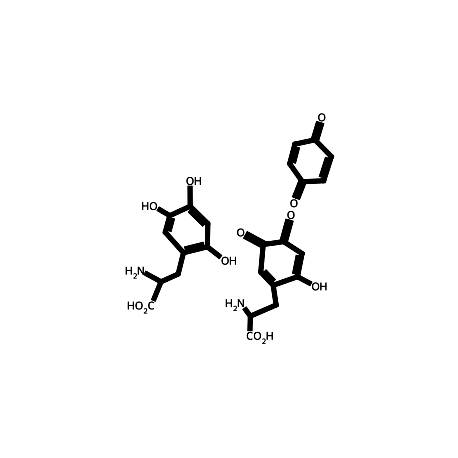 NC(CC1=CC(=O)C(=O)C=C1O)C(=O)O.NC(Cc1cc(O)c(O)cc1O)C(=O)O.O=C1C=CC(=O)C=C1